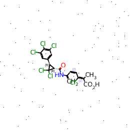 C=C(/C=C\C(Cl)=C(/C)C(=O)O)NC(=O)[C@H]1[C@H](c2cc(Cl)c(Cl)c(Cl)c2)C1(Cl)Cl